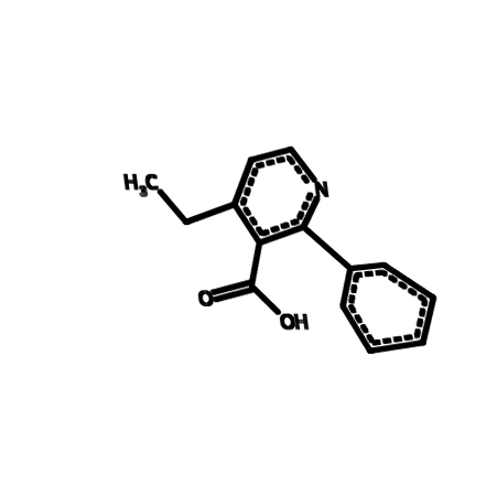 CCc1ccnc(-c2ccccc2)c1C(=O)O